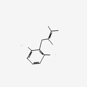 CCC(Cc1c(OC)cccc1OC)=C(C)C(=O)O